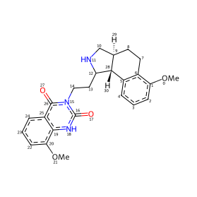 COc1cccc2c1CC[C@@H]1CNC(CCn3c(=O)[nH]c4c(OC)cccc4c3=O)[C@@H]21